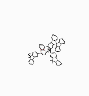 CC1(C)c2ccccc2-c2ccc(N(c3ccc(-c4ccc5sc6ccccc6c5c4)cc3)c3cc4c(cc3-c3ccccc3)-c3ccccc3C43c4ccccc4-c4ccccc43)cc21